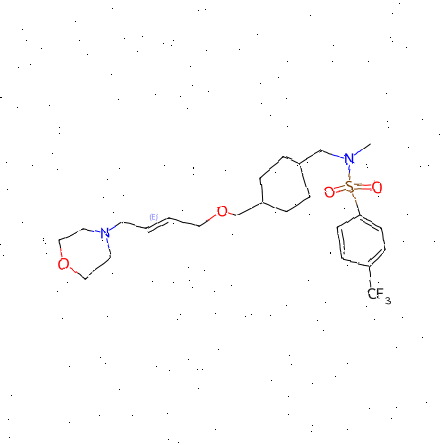 CN(CC1CCC(COC/C=C/CN2CCOCC2)CC1)S(=O)(=O)c1ccc(C(F)(F)F)cc1